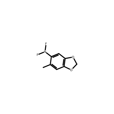 Cc1cc2c(cc1N(F)F)OCO2